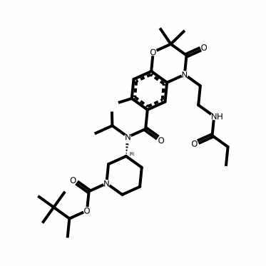 CCC(=O)NCCN1C(=O)C(C)(C)Oc2cc(C)c(C(=O)N(C(C)C)[C@@H]3CCCN(C(=O)O[C](C)C(C)(C)C)C3)cc21